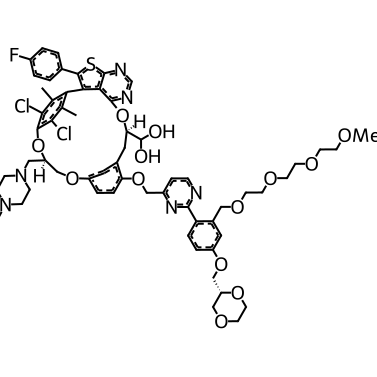 COCCOCCOCCOCc1cc(OC[C@H]2COCCO2)ccc1-c1nccc(COc2ccc3cc2C[C@H](C(O)O)Oc2ncnc4sc(-c5ccc(F)cc5)c(c24)-c2c(C)c(Cl)c(c(Cl)c2C)O[C@H](CN2CCN(C)CC2)CO3)n1